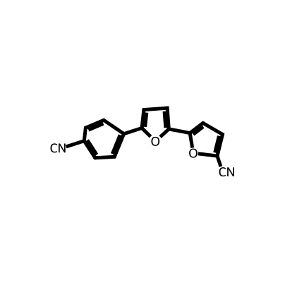 [C-]#[N+]c1ccc(-c2ccc(-c3ccc(C#N)o3)o2)cc1